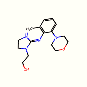 Cc1cccc(N2CCOCC2)c1/N=C1\NCCN1CCO